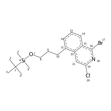 CC(C)(C)[Si](C)(C)OCCCc1cccc2c(Br)nc(Cl)cc12